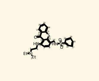 CCN(CC)CCNc1ccc(CNS(=O)(=O)c2ccccc2)c2sc3ccccc3c(=O)c12